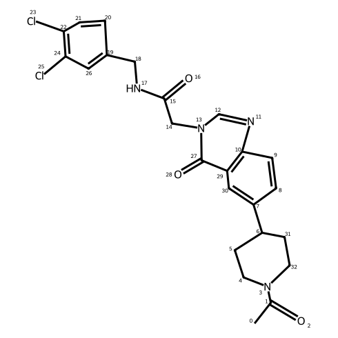 CC(=O)N1CCC(c2ccc3ncn(CC(=O)NCc4ccc(Cl)c(Cl)c4)c(=O)c3c2)CC1